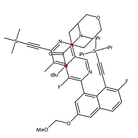 COCOc1cc(-c2ncc3c(N4C5COCC4CN(C(=O)OC(C)(C)C)C5)nc(C#C[Si](C)(C)C)c(C)c3c2F)c2c(C#C[Si](C(C)C)(C(C)C)C(C)C)c(F)ccc2c1